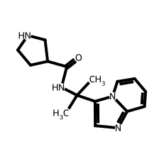 CC(C)(NC(=O)C1CCNC1)c1cnc2ccccn12